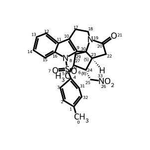 Cc1ccc(S(=O)(=O)n2c3c(c4ccccc42)CCN2C(=O)C[C@H]4[C@H](C[N+](=O)[O-])[C@@H](C)CC342)cc1